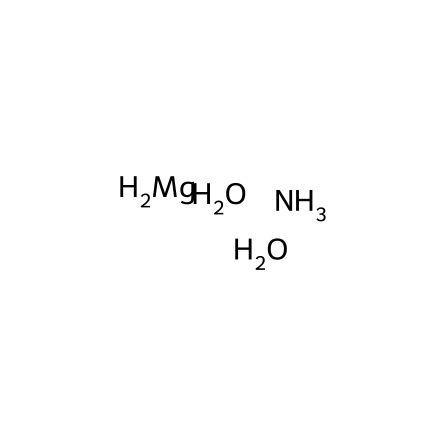 N.O.O.[MgH2]